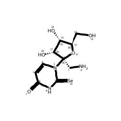 NC[C@@]1(n2ccc(=O)[nH]c2=[Se])O[C@H](CO)[C@@H](O)[C@H]1O